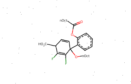 CCCCCCCCOC1(c2ccccc2OC(=O)CCCCCCCC)C=CC(C(=O)O)C(F)=C1F